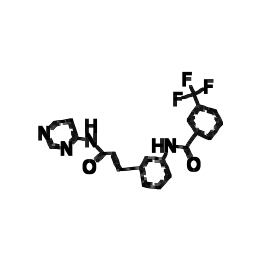 O=C(C=Cc1cccc(NC(=O)c2cccc(C(F)(F)F)c2)c1)Nc1ccncn1